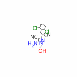 N#C/C(=C\c1c(Cl)cccc1Cl)c1nn(CCO)c(N)c1C#N